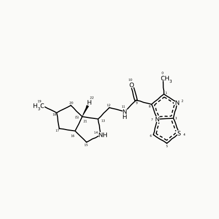 Cc1nc2sccn2c1C(=O)NCC1NCC2CC(C)C[C@@H]21